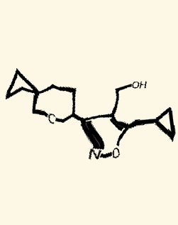 OCc1c(C2CCC3(CC2)CC3)noc1C1CC1